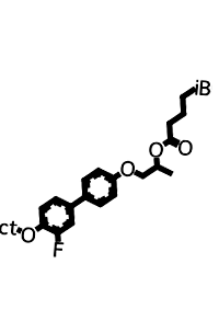 CCCCCCCCOc1ccc(-c2ccc(OCC(C)OC(=O)CCCC(C)CC)cc2)cc1F